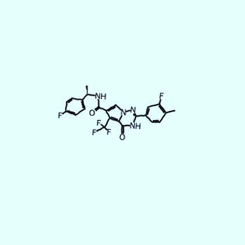 Cc1ccc(-c2nn3cc(C(=O)N[C@H](C)c4ccc(F)cc4)c(C(F)(F)F)c3c(=O)[nH]2)cc1F